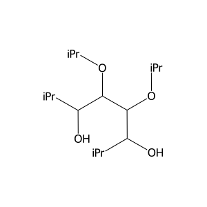 CC(C)OC(C(O)C(C)C)C(OC(C)C)C(O)C(C)C